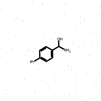 CC(C)c1ccc(C(N)O)cc1